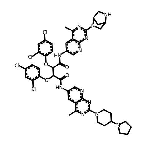 Cc1nc(N2CCC(N3CCCC3)CC2)nc2ncc(NC(=O)C(Oc3ccc(Cl)cc3Cl)C(Oc3ccc(Cl)cc3Cl)C(=O)Nc3cnc4nc(N5CC6CC5CN6)nc(C)c4c3)cc12